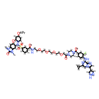 CCCOc1cccc(Oc2cc3c(cc2NS(=O)(=O)c2cccc(C(=O)NCCOCCOCCOCCOCC(=O)N4CCN(C(=O)c5ccc(Nc6nc(C7CC7)cn7c(-c8cn[nH]c8)cnc67)c(F)c5)CC4)c2)n(C)c(=O)n3C)c1